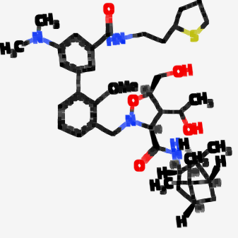 COc1c(CN2O[C@@H](CO)C(C(C)O)[C@H]2C(=O)N[C@H]2C[C@H]3C[C@@H]([C@@H]2C)C3(C)C)cccc1-c1cc(C(=O)NCCC2CCCS2)cc(N(C)C)c1